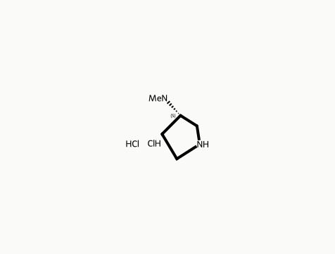 CN[C@H]1CCNC1.Cl.Cl